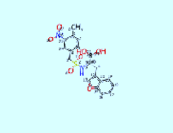 Cc1ccc(CS(=O)(=O)N[C@@H](Cc2coc3ccccc23)B(O)O)cc1[N+](=O)[O-]